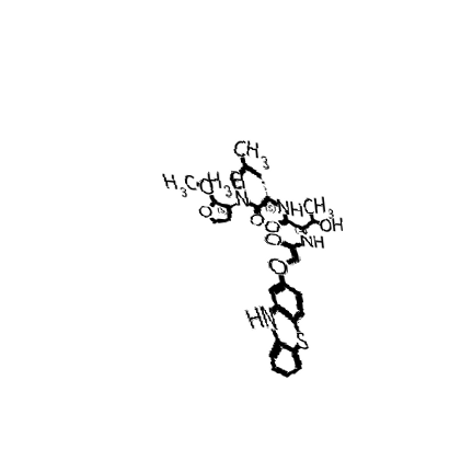 COC1OCC[C@@H]1NC(=O)[C@H](CC(C)C)NC(=O)[C@@H](NC(=O)COc1ccc2c(c1)Nc1ccccc1S2)C(C)O